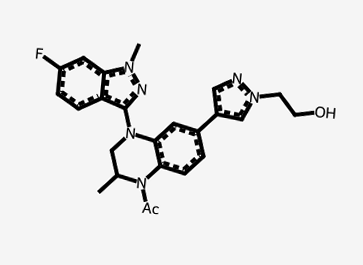 CC(=O)N1c2ccc(-c3cnn(CCO)c3)cc2N(c2nn(C)c3cc(F)ccc23)CC1C